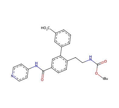 CC(C)(C)OC(=O)NCCc1ccc(C(=O)Nc2ccncc2)cc1-c1cccc(C(=O)O)c1